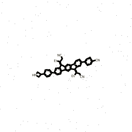 CC/C(CC#N)=C1\c2cc(-c3ccc(C4CNC4)cc3)ccc2-c2cc3c(cc21)-c1ccc(-c2ccc(C#N)cc2)cc1/C3=C(/CC)CC#N